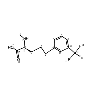 CN[C@@H](CCCc1cccc(C(F)(F)F)c1)C(=O)O